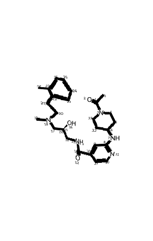 CC(=O)N1CCC(Nc2cc(C(=O)NC[C@H](O)CN(C)CCc3ccccc3C)ccn2)CC1